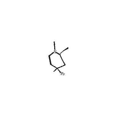 CC(C)[C@@]1(C)CCN(C)[C@@H](C)C1